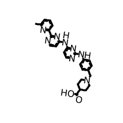 Cc1cccc(-c2nccc(Nc3ccnc(Nc4ccc(CN5CCC(C(=O)O)CC5)cc4)n3)n2)n1